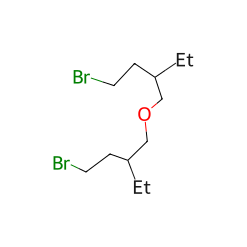 CCC(CCBr)COCC(CC)CCBr